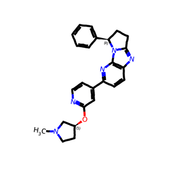 CN1CC[C@H](Oc2cc(-c3ccc4nc5n(c4n3)[C@@H](c3ccccc3)CC5)ccn2)C1